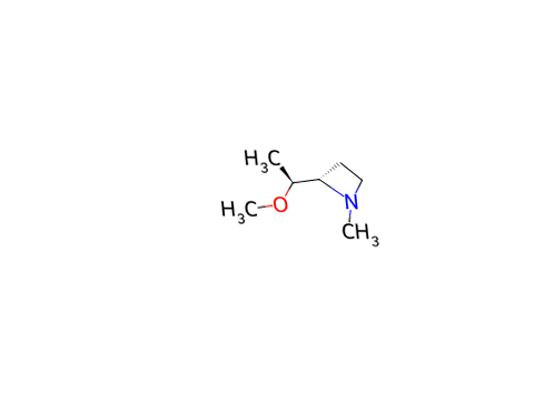 CO[C@@H](C)[C@@H]1CCN1C